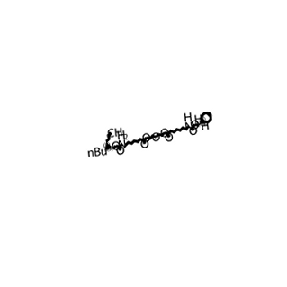 C=CCC[C@@H]1[C@H](CCCC)[C@@H]1COC(=O)NCCCCCCC(=O)OCCOCCOC(=O)CCCCCCNC(=O)OC[C@@H]1[C@@H]2CCC#CCC[C@@H]21